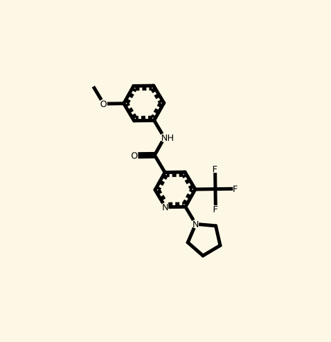 COc1cccc(NC(=O)c2cnc(N3CCCC3)c(C(F)(F)F)c2)c1